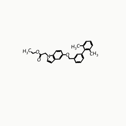 CCOC(=O)Cn1ccc2cc(OCc3cccc(-c4c(C)cccc4C)c3)ccc21